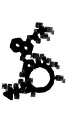 C[C@@H]1CC/C=C\[C@@H]2C[C@@]2(C(=O)NS(=O)(=O)C2(C)CC2)NC(=O)[C@@H]2C[C@@H](Oc3ncc(OC(=O)OC(C)(C)C(F)(F)F)c4ccccc34)CN2C(=O)[C@@H](NC(=O)O)[C@H](C)C1